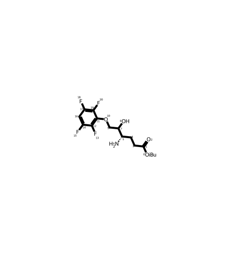 CC(C)COC(=O)CC[C@H](N)C(O)COc1c(F)c(F)cc(F)c1F